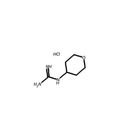 Cl.N=C(N)NC1CCOCC1